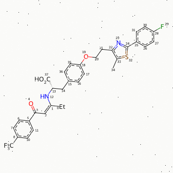 CCC(=CC(=O)c1ccc(C(F)(F)F)cc1)N[C@@H](Cc1ccc(OCCc2nc(-c3ccc(F)cc3)sc2C)cc1)C(=O)O